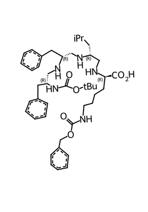 CC(C)C[C@H](CN[C@H](CCCCNC(=O)OCc1ccccc1)C(=O)O)NC[C@@H](Cc1ccccc1)NC[C@@H](Cc1ccccc1)NC(=O)OC(C)(C)C